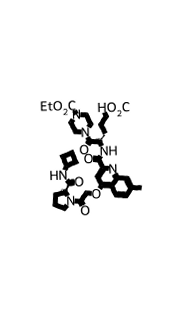 CCOC(=O)N1CCN(C(=O)[C@H](CCCC(=O)O)NC(=O)c2cc(OCC(=O)N3CCC[C@H]3C(=O)NC3CCC3)c3ccc(C)cc3n2)CC1